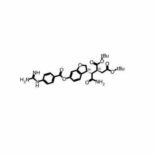 CC(C)(C)OC(=O)C[C@H](C(=O)OC(C)(C)C)C(C(N)=O)[C@H]1COc2cc(OC(=O)c3ccc(NC(=N)N)cc3)ccc21